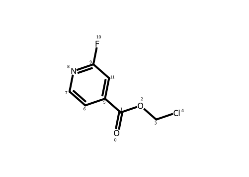 O=C(OCCl)c1ccnc(F)c1